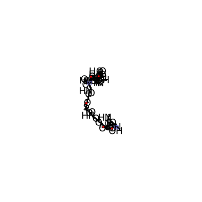 CC/N=c1/cc2oc3cc(NCC)c(C)cc3c(-c3cc(C(=O)NCCOCCOCCNC(=O)OCCC(C)(C)SSCOCCCCOC(=O)NCC#C/C(=C/NC4CO[C@H](COP(=O)(O)OP(=O)(O)OP(=O)(O)O)C4OCN=[N+]=[N-])C(=O)NC=O)ccc3C(=O)O)c-2cc1C